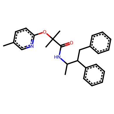 Cc1ccc(OC(C)(C)C(=O)NC(C)C(Cc2ccccc2)c2ccccc2)nc1